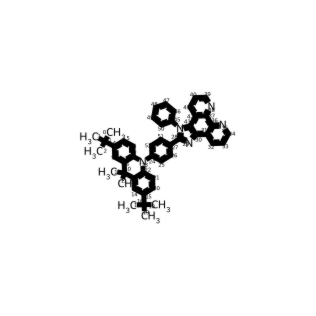 CC(C)(C)c1ccc2c(c1)C(C)(C)c1cc(C(C)(C)C)ccc1N2c1ccc(-c2nc3c4cccnc4c4ncccc4c3n2-c2ccccc2)cc1